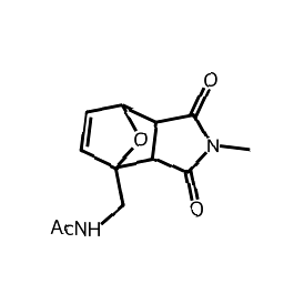 CC(=O)NCC12C=CC(O1)C1C(=O)N(C)C(=O)C12